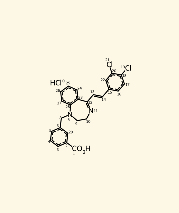 Cl.O=C(O)c1cccc(CN2CCN=C(C=Cc3ccc(Cl)c(Cl)c3)c3ccccc32)c1